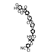 CC1(C)[C@H](NC(=O)c2ccc(N3CCN(CC4(Cl)CCN(c5ccc6c(c5)C(=O)N(C5CCC(=O)NC5=O)C6=O)CC4)CC3)cc2)C(C)(C)[C@H]1Oc1ccc(C#N)c(Cl)c1